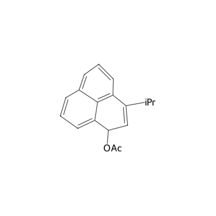 CC(=O)OC1C=C(C(C)C)c2cccc3cccc1c23